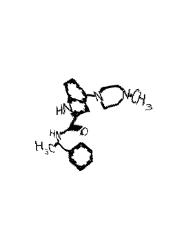 CC(NC(=O)c1cc2c(N3CCN(C)CC3)cccc2[nH]1)c1ccccc1